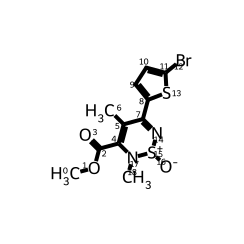 COC(=O)C1=C(C)C(c2ccc(Br)s2)=N[S+]([O-])N1C